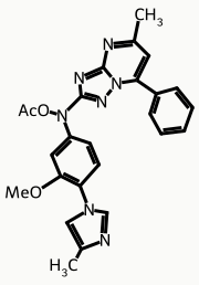 COc1cc(N(OC(C)=O)c2nc3nc(C)cc(-c4ccccc4)n3n2)ccc1-n1cnc(C)c1